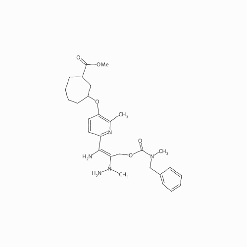 COC(=O)C1CCCCC(Oc2ccc(/C(N)=C(\COC(=O)N(C)Cc3ccccc3)N(C)N)nc2C)C1